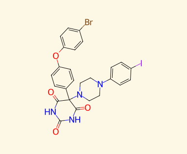 O=C1NC(=O)C(c2ccc(Oc3ccc(Br)cc3)cc2)(N2CCN(c3ccc(I)cc3)CC2)C(=O)N1